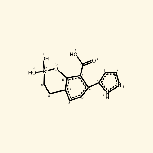 O=C(O)c1c(-c2ccn[nH]2)ccc2c1O[B-](O)(O)CC2